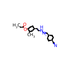 C=CC(=O)Oc1ccc(/C=C/N/N=C/c2ccc(C#N)cc2)cc1C